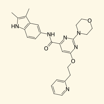 Cc1[nH]c2ccc(NC(=O)c3cc(OCCc4ccccn4)nc(N4CCOCC4)n3)cc2c1C